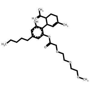 C=C(C)C1CCC(C)=CC1c1c(O)cc(CCCCC)cc1OC(=O)COCCOCCOC